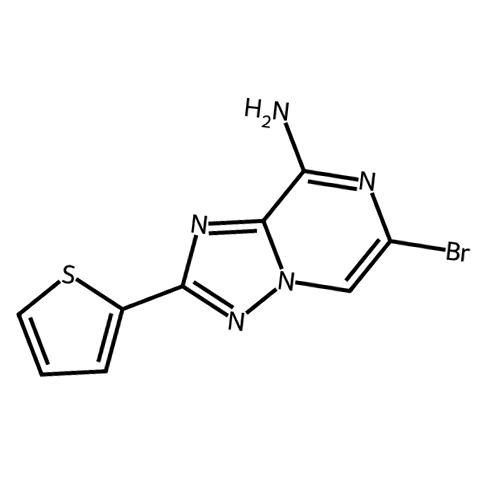 Nc1nc(Br)cn2nc(-c3cccs3)nc12